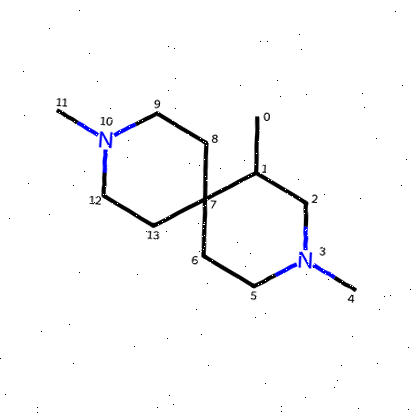 CC1CN(C)CCC12CCN(C)CC2